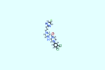 O=C([C@H]1CN(CCCc2ncc(F)cn2)CCN1)N1CCN(c2ccc(Cl)c(Cl)c2)CC1